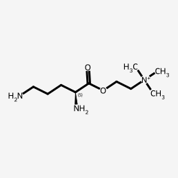 C[N+](C)(C)CCOC(=O)[C@@H](N)CCCN